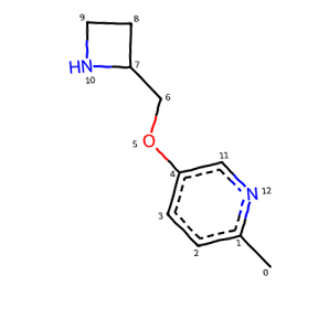 Cc1ccc(OCC2CCN2)cn1